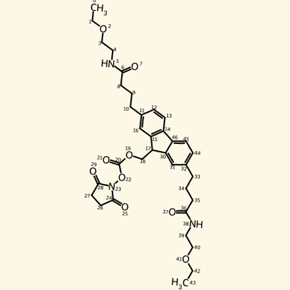 CCOCCNC(=O)CCCc1ccc2c(c1)C(COC(=O)ON1C(=O)CCC1=O)c1cc(CCCC(=O)NCCOCC)ccc1-2